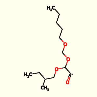 CCCCCOCOC([C]=O)OCC(C)CC